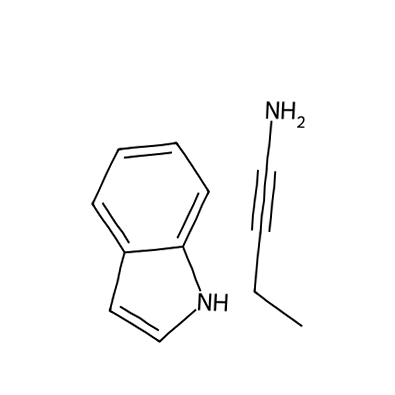 CCC#CN.c1ccc2[nH]ccc2c1